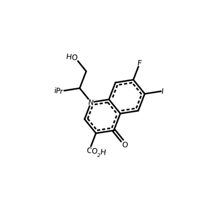 CC(C)C(CO)n1cc(C(=O)O)c(=O)c2cc(I)c(F)cc21